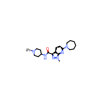 CC(C)N1CCC(NC(=O)c2nn(C)c3nc(N4CCCCCC4)ccc23)CC1